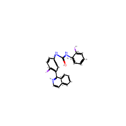 O=C(Nc1ccc(I)c(-c2nccc3ccccc23)c1)Nc1ccccc1I